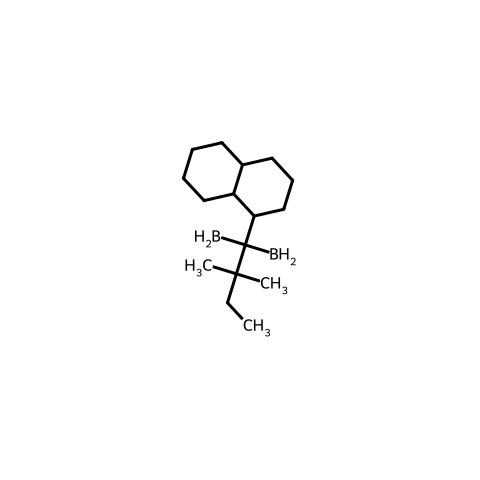 BC(B)(C1CCCC2CCCCC21)C(C)(C)CC